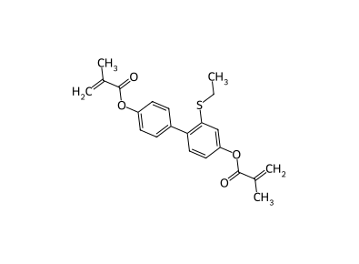 C=C(C)C(=O)Oc1ccc(-c2ccc(OC(=O)C(=C)C)cc2SCC)cc1